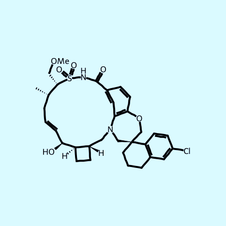 COC[C@H]1[C@@H](C)C/C=C/[C@H](O)[C@@H]2CC[C@H]2CN2C[C@@]3(CCCc4cc(Cl)ccc43)COc3ccc(cc32)C(=O)NS1(=O)=O